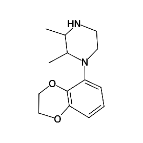 CC1NCCN(c2cccc3c2OCCO3)C1C